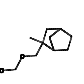 CC1(COCO)CC2CCC1C2